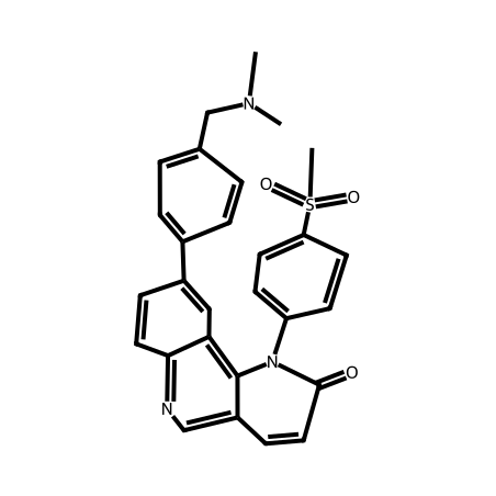 CN(C)Cc1ccc(-c2ccc3ncc4ccc(=O)n(-c5ccc(S(C)(=O)=O)cc5)c4c3c2)cc1